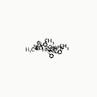 Cc1cc(C(=O)N[C@@H](Cc2ccccc2)[C@H](O)CNCc2cccc(C(C)(F)F)c2)cc(C(=O)N2CCCC2c2nc(C)co2)c1